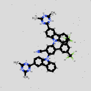 Cc1nc(C)nc(-c2ccc3c(c2)c2ccccc2n3-c2cc(-c3cc(C(F)(F)F)cc(C(F)(F)F)c3)c(-n3c4ccccc4c4cc(-c5nc(C)nc(C)n5)ccc43)cc2C#N)n1